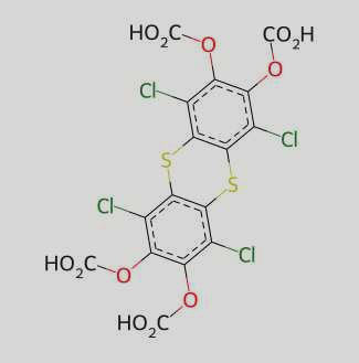 O=C(O)Oc1c(Cl)c2c(c(Cl)c1OC(=O)O)Sc1c(Cl)c(OC(=O)O)c(OC(=O)O)c(Cl)c1S2